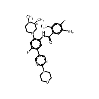 C[C@H]1CN(c2cc(F)c(-c3cnc(N4CCOCC4)nc3)cc2NC(=O)c2cc(N)c(F)cc2C(F)(F)F)CCN1C